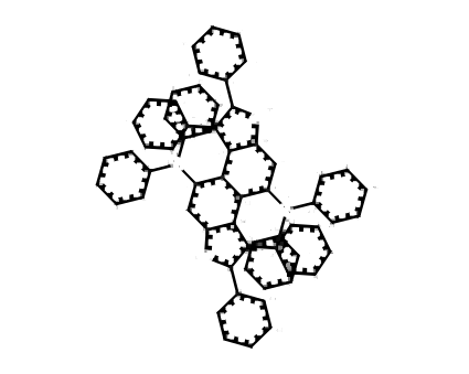 c1ccc(-c2oc3cc(N(c4ccccc4)c4ccccc4)c4c5c(-c6ccccc6)c(-c6ccccc6)oc5cc(N(c5ccccc5)c5ccccc5)c4c3c2-c2ccccc2)cc1